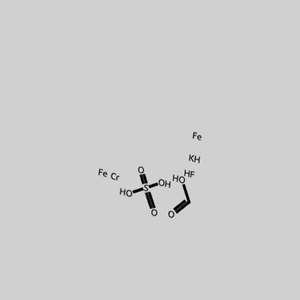 F.O=CO.O=S(=O)(O)O.[Cr].[Fe].[Fe].[KH]